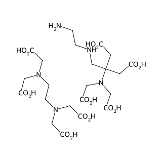 NCCNCC(CC(=O)O)(CC(=O)O)N(CC(=O)O)CC(=O)O.O=C(O)CN(CCN(CC(=O)O)CC(=O)O)CC(=O)O